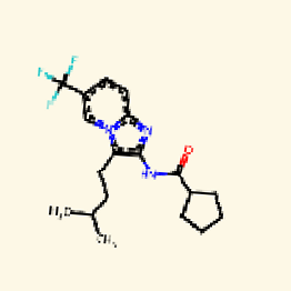 CC(C)CCc1c(NC(=O)C2CCCC2)nc2ccc(C(F)(F)F)cn12